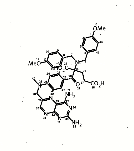 COc1ccc(CN(Cc2ccc(OC)cc2)C(CCC(=O)O)(C(=O)O)C(=O)c2ccc(N(C)Cc3cnc4nc(N)nc(N)c4n3)cc2)cc1